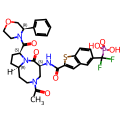 CC(=O)N1CC[C@H]2CC[C@@H](C(=O)N3CCOC[C@H]3c3ccccc3)N2C(=O)[C@@H](NC(=O)c2cc3cc(C(F)(F)P(=O)(O)O)ccc3s2)C1